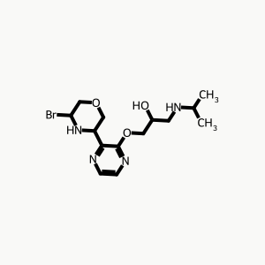 CC(C)NCC(O)COc1nccnc1C1COCC(Br)N1